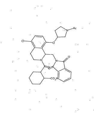 CC(=O)N1CCC(Oc2ccc(Cl)c3c2C(CN2C(=O)c4ccccc4C2=O)N(C(=O)C2CCCCC2C(=O)O)CC3)C1